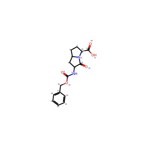 O=C(NC1CC2CC[C@@H](C(=O)O)N2C1=O)OCc1ccccc1